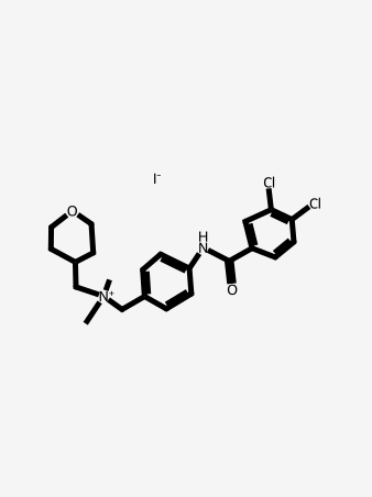 C[N+](C)(Cc1ccc(NC(=O)c2ccc(Cl)c(Cl)c2)cc1)CC1CCOCC1.[I-]